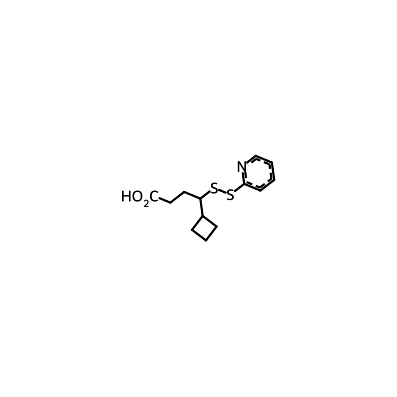 O=C(O)CCC(SSc1ccccn1)C1CCC1